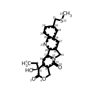 CC[C@@]1(O)C(=O)OCc2c1cc1n(c2=O)Cc2cc3cc(CSC)ccc3nc2-1